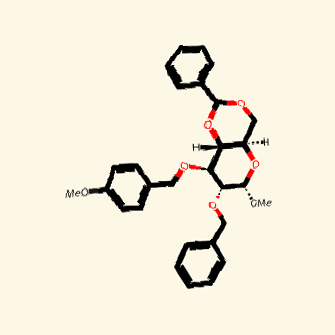 COc1ccc(CO[C@@H]2[C@@H](OCc3ccccc3)[C@@H](OC)O[C@@H]3COC(c4ccccc4)O[C@@H]23)cc1